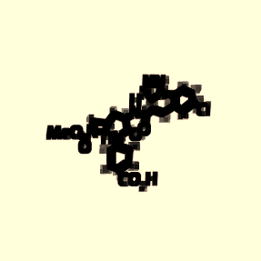 COC(=O)N1CC(CC(NC(=O)C=Cc2cc(Cl)ccc2-n2cnnn2)C(=O)Nc2ccc(C(=O)O)cc2)C1